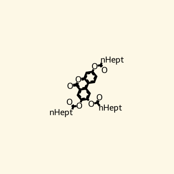 CCCCCCCC(=O)Oc1ccc2c(c1)oc(=O)c1cc(OC(=O)CCCCCCC)c(OC(=O)CCCCCCC)cc12